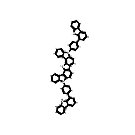 c1ccc2c(c1)oc1c(-c3ccc(-n4c5ccccc5c5c6sc7c(ccc8c7c7ccccc7n8-c7ccc(-c8cccc9c8oc8ccccc89)cc7)c6ccc54)cc3)cccc12